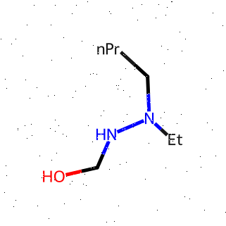 CCCCN(CC)NCO